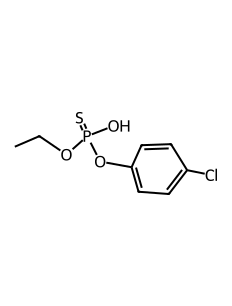 CCOP(O)(=S)Oc1ccc(Cl)cc1